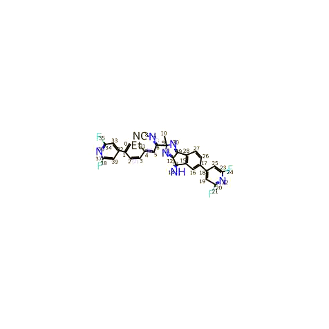 C=C(\C=C/C(=C/C(=N\C#N)C1(C)N=C2C(=N)c3cc(-c4cc(F)nc(F)c4)ccc3C2=N1)CC)c1cc(F)nc(F)c1